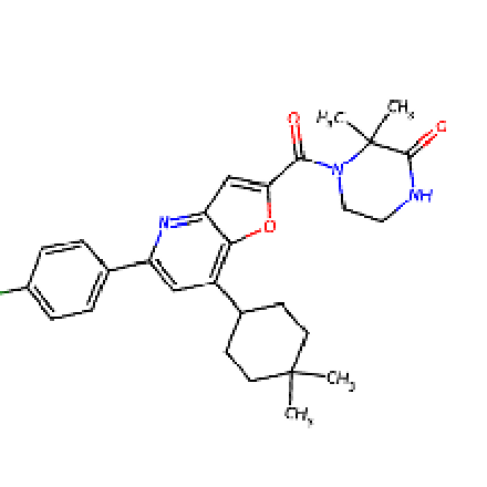 CC1(C)CCC(c2cc(-c3ccc(F)cc3)nc3cc(C(=O)N4CCNC(=O)C4(C)C)oc23)CC1